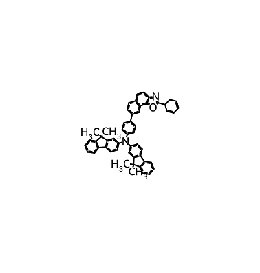 CC1(C)c2ccccc2-c2ccc(N(c3ccc(-c4ccc5ccc6nc(C7C=CC=CC7)oc6c5c4)cc3)c3ccc4c(c3)C(C)(C)c3ccccc3-4)cc21